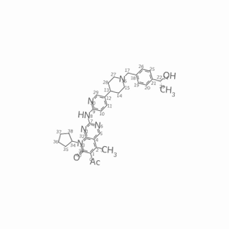 CC(=O)c1c(C)c2cnc(Nc3ccc(C4CCN(Cc5ccc([C@@H](C)O)cc5)CC4)cn3)nc2n(C2CCCC2)c1=O